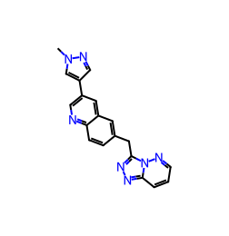 Cn1cc(-c2cnc3ccc(Cc4nnc5cccnn45)cc3c2)cn1